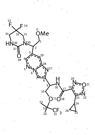 COCC(c1cnn2cc(C(COC(C)(C)C(F)(F)F)NC(=O)c3nonc3C3CC3)nc2c1)N1CC(F)(F)CNC1=O